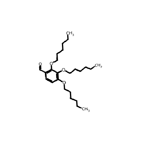 CCCCCCOc1ccc(C=O)c(OCCCCCC)c1OCCCCCC